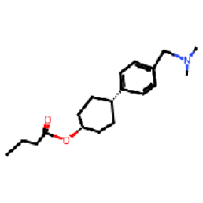 CCCC(=O)O[C@H]1CC[C@H](c2ccc(CN(C)C)cc2)CC1